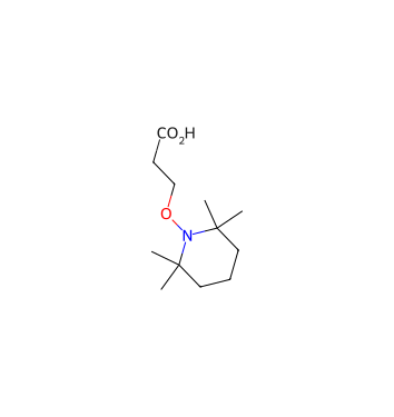 CC1(C)CCCC(C)(C)N1OCCC(=O)O